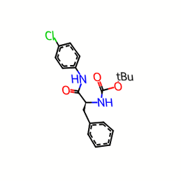 CC(C)(C)OC(=O)N[C@@H](Cc1ccccc1)C(=O)Nc1ccc(Cl)cc1